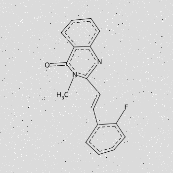 Cn1c(C=Cc2ccccc2F)nc2ccccc2c1=O